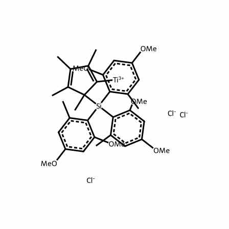 COc1cc(C)c([Si](c2c(C)cc(OC)cc2OC)(c2c(C)cc(OC)cc2OC)C2(C)C(C)=C(C)C(C)=[C]2[Ti+3])c(OC)c1.[Cl-].[Cl-].[Cl-]